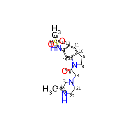 C[C@@H]1CN(CC(=O)N2CCc3ccc(NS(C)(=O)=O)cc32)CCN1